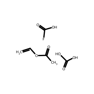 C=COC(C)=O.O=C(O)F.O=C(O)O